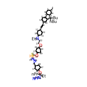 CCCCC1(CCCC)c2cc(C)ccc2-c2ccc(C#Cc3ccc(N(CC)CCOc4ccc(O[PH](=S)N(C)/N=C/c5ccc(OC(CC)(CCC)N=[N+]=[N-])cc5)cc4)cc3)cc21